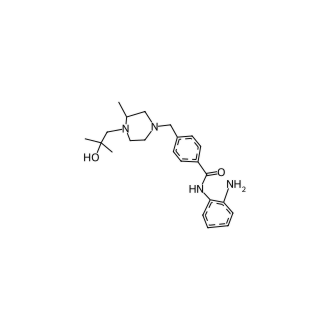 CC1CN(Cc2ccc(C(=O)Nc3ccccc3N)cc2)CCN1CC(C)(C)O